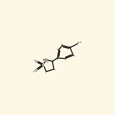 O=S1(=O)CCC(c2ccc(F)cc2)N1